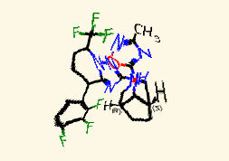 Cc1noc(N2C[C@H]3CC[C@@H](C2)C3Nc2nc3n(n2)C(C(F)(F)F)CCC3c2ccc(F)c(F)c2F)n1